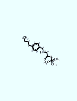 CCCCc1ccc(CNCC(=O)OC(C)(C)C)cc1